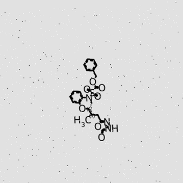 C[C@H](Cc1n[nH]c(=O)o1)[C@H]1CN(S(=O)(=O)C(=O)OCc2ccccc2)c2ccccc2O1